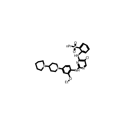 CCCS(=O)(=O)c1ccccc1Nc1nc(Nc2ccc(N3CCC(N4CCCCC4)CC3)cc2OCC)ncc1Cl